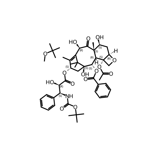 CC(=O)O[C@@]12CO[C@@H]1C[C@H](O)[C@@]1(C)C(=O)[C@H](O)C3=C(C)[C@@H](OC(=O)[C@H](O)[C@@H](NC(=O)OC(C)(C)C)c4ccccc4)C[C@@](O)([C@@H](OC(=O)c4ccccc4)[C@H]21)C3(C)C.COC(C)(C)C